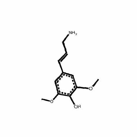 COc1cc(/C=C/CN)cc(OC)c1O